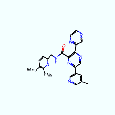 COc1ccc(CNC(=O)c2nc(-c3cncc(C)c3)cnc2-c2cnccn2)nc1OC